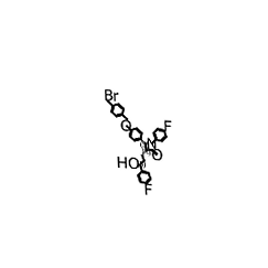 O=C1[C@H](CC[C@H](O)c2ccc(F)cc2)[C@@H](c2ccc(OCc3ccc(CBr)cc3)cc2)N1c1ccc(F)cc1